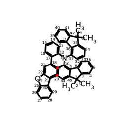 CC1(C)c2ccccc2-c2c(N(c3ccccc3-c3ccc4c(c3)oc3ccccc34)c3cccc4c3-c3ccccc3C4(C)C)cccc21